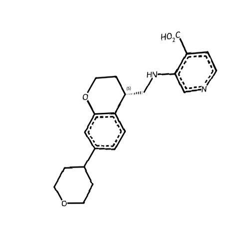 O=C(O)c1ccncc1NC[C@H]1CCOc2cc(C3CCOCC3)ccc21